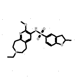 CCN1CCc2cc(NS(=O)(=O)c3ccc4c(c3)CC(C)O4)c(OC)nc2CC1